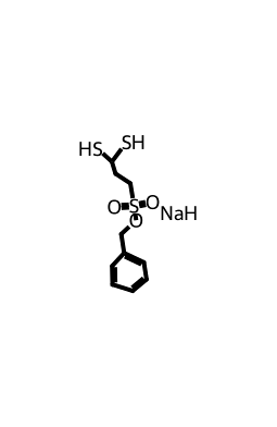 O=S(=O)(CCC(S)S)OCc1ccccc1.[NaH]